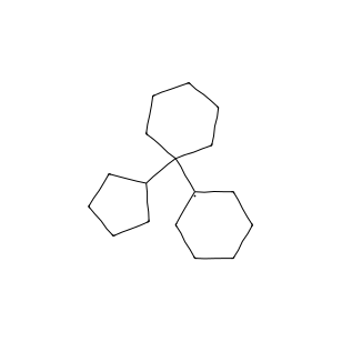 C1CC[C](C2(C3CCCC3)CCCCC2)CC1